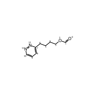 O=COCCCCc1cccnn1